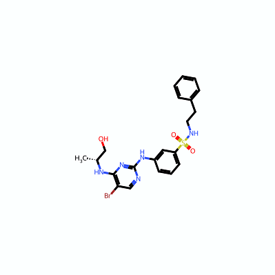 C[C@H](CO)Nc1nc(Nc2cccc(S(=O)(=O)NCCc3ccccc3)c2)ncc1Br